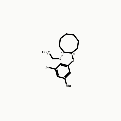 CC(C)(C)c1cc(S[C@@H]2CCCCCC[C@H]2SCC(=O)O)cc(C(C)(C)C)c1